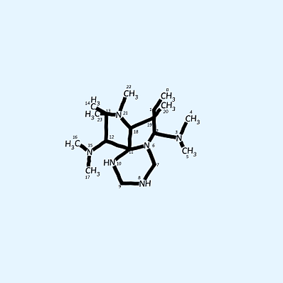 CCC(N(C)C)N1CNCNC1(C(CC)N(C)C)C(CC)N(C)C